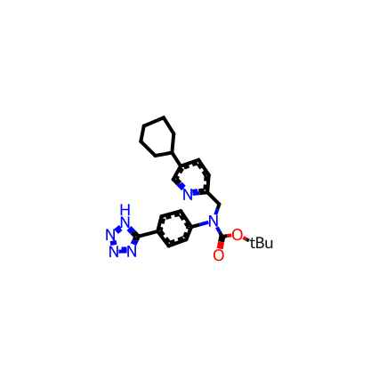 CC(C)(C)OC(=O)N(Cc1ccc(C2CCCCC2)cn1)c1ccc(-c2nnn[nH]2)cc1